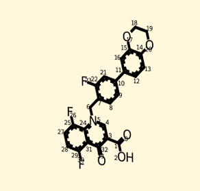 O=C(O)c1cn(Cc2ccc(-c3ccc4c(c3)OCCO4)cc2F)c2c(F)ccc(F)c2c1=O